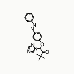 CC(C)(C)C(=O)C(Oc1ccc(N=Nc2ccccc2)cc1)n1cncn1